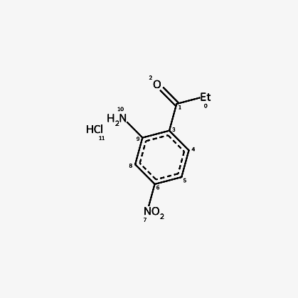 CCC(=O)c1ccc([N+](=O)[O-])cc1N.Cl